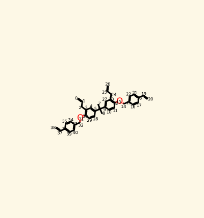 C=CCc1cc(C(C)(C)c2ccc(OCc3ccc(C=C)cc3)c(CC=C)c2)ccc1OCc1ccc(C=C)cc1